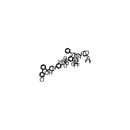 CCN(CC)C[C@H]1CN(CC[C@H](CSc2ccccc2)Nc2ccc(S(=O)(=O)NC(=O)c3ccc(N4CCC([C@H](O)c5ccccc5-c5ccc(Cl)cc5)CC4)cc3)cc2S(=O)(=O)C(F)(F)F)CCO1